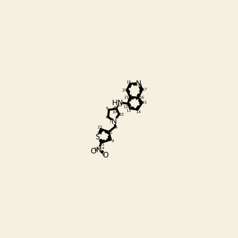 O=[N+]([O-])c1cc(CN2CC[C@@H](Nc3cccc4cnccc34)C2)cs1